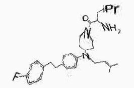 CC(C)=CCN(c1ccc(CCc2ccc(F)cc2)cc1)C1CCN(C(=O)C(N)CC(C)C)CC1